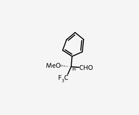 CO[C@@](C=O)(c1ccccc1)C(F)(F)F